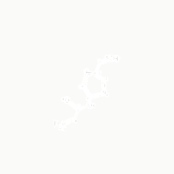 [CH]=Cc1ccc(OC(=O)C=C)cc1